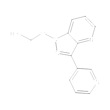 CCOn1nc(-c2cccnc2)c2ncccc21